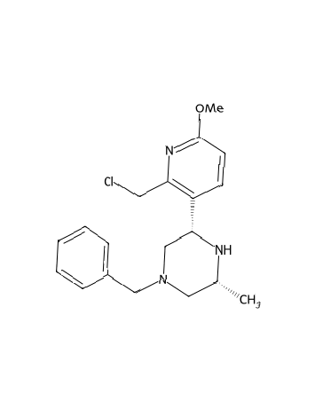 COc1ccc([C@H]2CN(Cc3ccccc3)C[C@@H](C)N2)c(CCl)n1